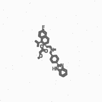 COCC(=O)O[C@]1(CCN(C)C[C@H]2CC[C@H](c3nc4ccccc4[nH]3)CC2)CCc2cc(F)ccc2[C@@H]1C(C)C